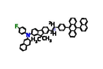 [2H]/C(=C(/[2H])c1ccc2c(c1)C(C)(C)c1cc(N(c3ccc(F)cc3)c3ccc4ccccc4c3)ccc1-2)c1ccc(-c2c3ccccc3c(-c3cccc4ccccc34)c3ccccc23)cc1